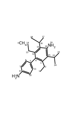 C.CCc1c(-c2ccc(N)cc2)c(CC)c(C(C)C)c(N)c1C(C)C